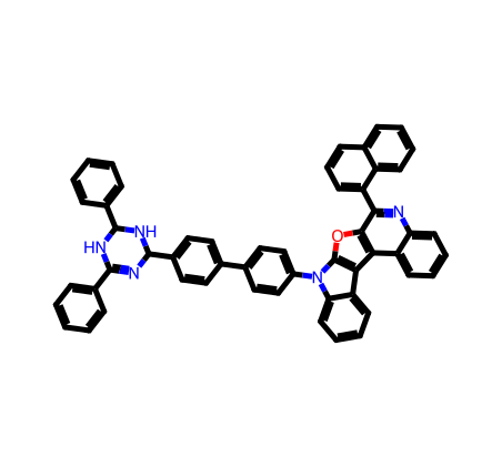 c1ccc(C2=NC(c3ccc(-c4ccc(-n5c6ccccc6c6c7c(oc65)c(-c5cccc6ccccc56)nc5ccccc57)cc4)cc3)NC(c3ccccc3)N2)cc1